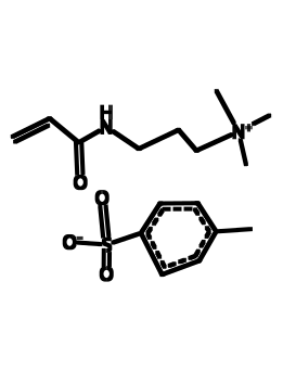 C=CC(=O)NCCC[N+](C)(C)C.Cc1ccc(S(=O)(=O)[O-])cc1